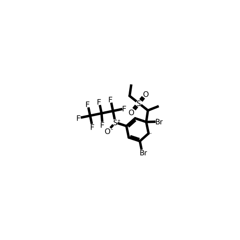 CCS(=O)(=O)C(C)C1(Br)[CH]C(Br)=CC([S+]([O-])C(F)(F)C(F)(F)C(F)(F)F)=C1